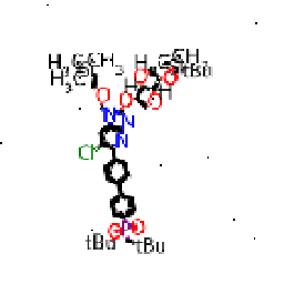 CC(C)(C)CP(=O)(OC(C)(C)C)c1ccc(-c2ccc(-c3nc4nc(O[C@@H]5CO[C@@H]6C(O[Si](C)(C)C(C)(C)C)CO[C@@H]65)n(COCC[Si](C)(C)C)c4cc3Cl)cc2)cc1